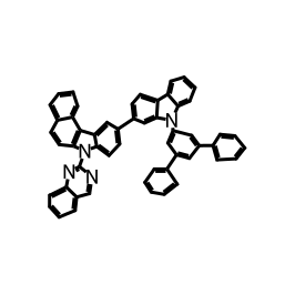 c1ccc(-c2cc(-c3ccccc3)cc(-n3c4ccccc4c4ccc(-c5ccc6c(c5)c5c7ccccc7ccc5n6-c5ncc6ccccc6n5)cc43)c2)cc1